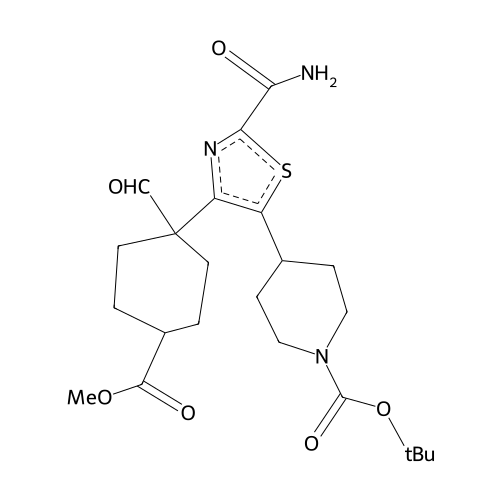 COC(=O)C1CCC(C=O)(c2nc(C(N)=O)sc2C2CCN(C(=O)OC(C)(C)C)CC2)CC1